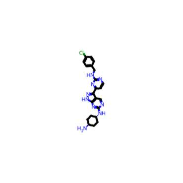 N[C@H]1CC[C@H](Nc2ncc3c(-c4ccnc(NCc5ccc(Cl)cc5)n4)n[nH]c3n2)CC1